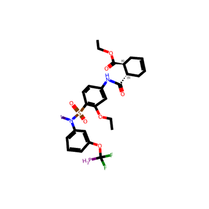 CCOC(=O)[C@H]1CC=CC[C@@H]1C(=O)Nc1ccc(S(=O)(=O)N(I)c2cccc(OC(F)(F)P)c2)c(OCC)c1